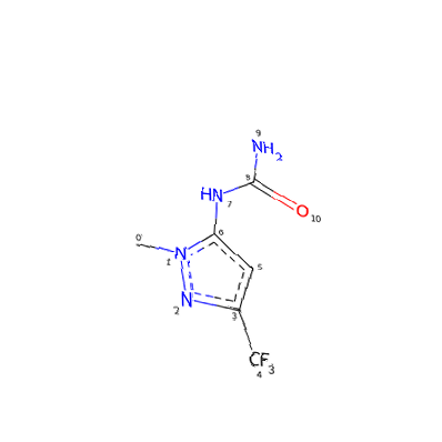 Cn1nc(C(F)(F)F)cc1NC(N)=O